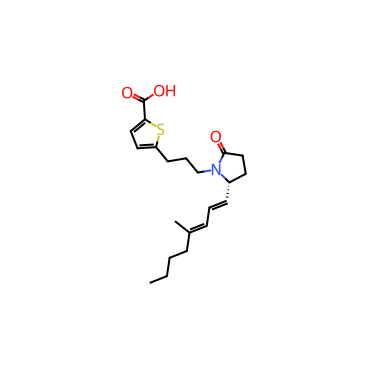 CCCC/C(C)=C/C=C/[C@H]1CCC(=O)N1CCCc1ccc(C(=O)O)s1